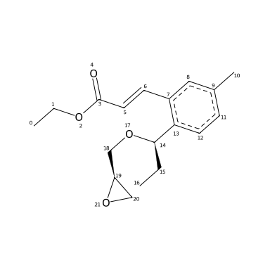 CCOC(=O)/C=C/c1cc(C)ccc1[C@@H](CC)OC[C@H]1CO1